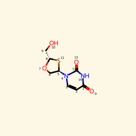 O=c1ccn([C@H]2CO[C@H](CO)S2)c(=O)[nH]1